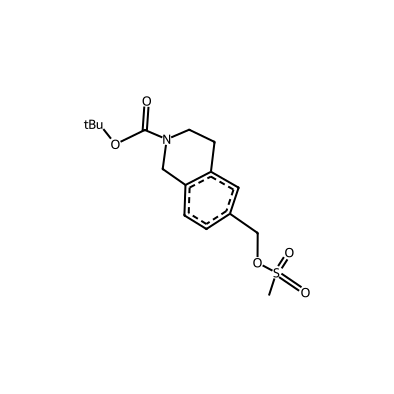 CC(C)(C)OC(=O)N1CCc2cc(COS(C)(=O)=O)ccc2C1